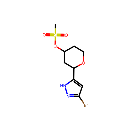 CS(=O)(=O)OC1CCOC(c2cc(Br)n[nH]2)C1